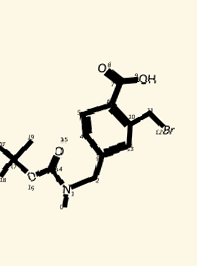 CN(Cc1ccc(C(=O)O)c(CBr)c1)C(=O)OC(C)(C)C